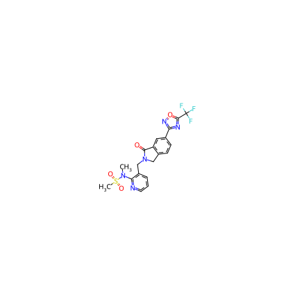 CN(c1ncccc1CN1Cc2ccc(-c3noc(C(F)(F)F)n3)cc2C1=O)S(C)(=O)=O